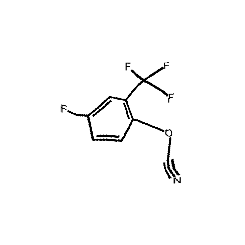 N#COc1ccc(F)cc1C(F)(F)F